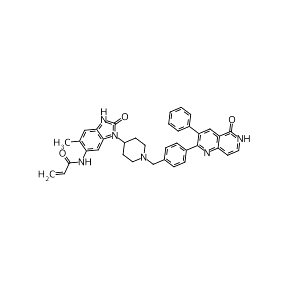 C=CC(=O)Nc1cc2c(cc1C)[nH]c(=O)n2C1CCN(Cc2ccc(-c3nc4cc[nH]c(=O)c4cc3-c3ccccc3)cc2)CC1